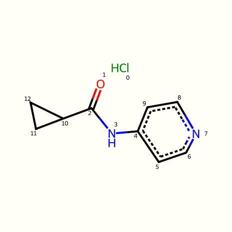 Cl.O=C(Nc1ccncc1)C1CC1